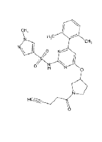 C#CCCC(=O)N1CCC(Oc2cc(-c3c(C)cccc3C)nc(NS(=O)(=O)c3cnn(C)c3)n2)C1